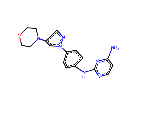 Nc1ccnc(Nc2ccc(-n3cc(N4CCOCC4)cn3)cc2)n1